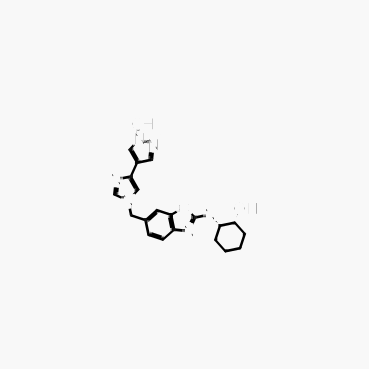 Cn1cc(-c2cn(Cc3ccc4nc(N[C@@H]5CCCC[C@H]5O)oc4c3)cn2)cn1